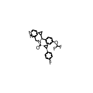 O=C([C@@H]1C[C@H]1c1ccc(F)cc1)N(Cc1cccnn1)[C@@H](c1ccc(OC(F)F)cc1)C1CC1